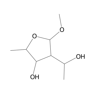 COC1OC(C)C(O)C1C(C)O